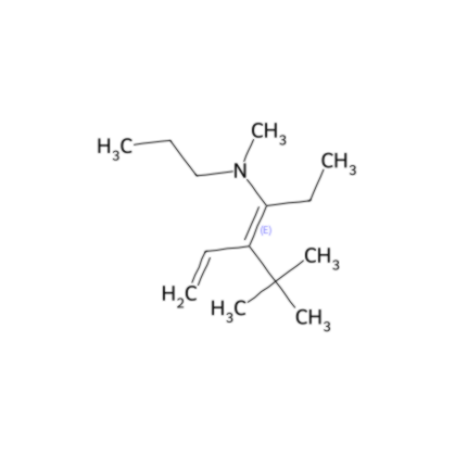 C=C/C(=C(/CC)N(C)CCC)C(C)(C)C